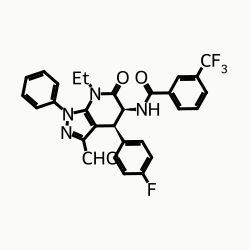 CCN1C(=O)[C@@H](NC(=O)c2cccc(C(F)(F)F)c2)[C@@H](c2ccc(F)cc2)c2c(C=O)nn(-c3ccccc3)c21